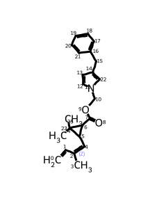 C=C/C(C)=C\C1C(C(=O)OCn2ccc(Cc3ccccc3)c2)C1(C)C